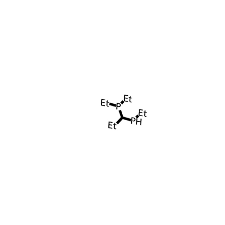 CCPC(CC)P(CC)CC